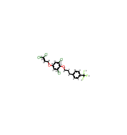 FC(F)(F)c1ccc(CCCOc2c(Cl)cc(OCC=C(Cl)Cl)cc2Cl)cc1